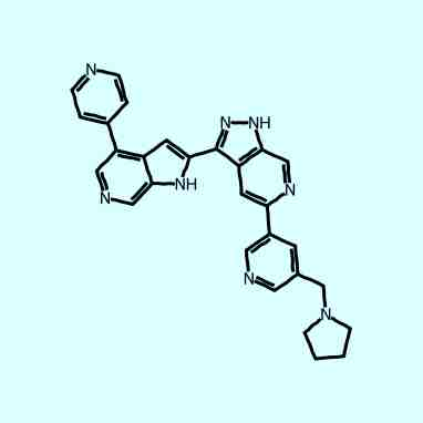 c1cc(-c2cncc3[nH]c(-c4n[nH]c5cnc(-c6cncc(CN7CCCC7)c6)cc45)cc23)ccn1